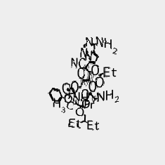 CCC(=O)O[C@@H]1[C@H](OC(=O)[C@@H](N)C(C)C)[C@@H](COP(=O)(N[C@@H](C)C(=O)OCC(CC)CC)Oc2ccccc2)O[C@@]1(C#N)c1ccc2c(N)ncnn12